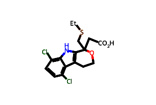 CCSCC1(CC(=O)O)OCCc2c1[nH]c1c(Cl)ccc(Cl)c21